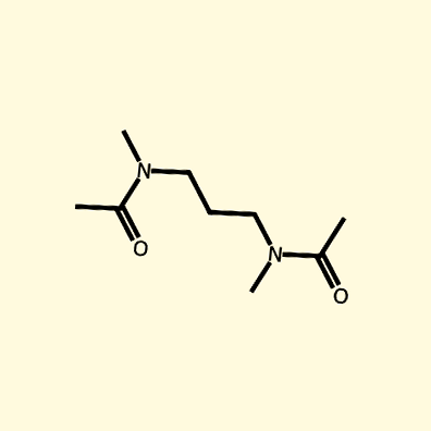 CC(=O)N(C)CCCN(C)C(C)=O